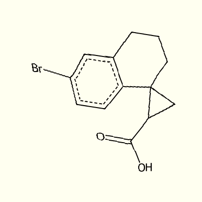 O=C(O)C1CC12CCCc1cc(Br)ccc12